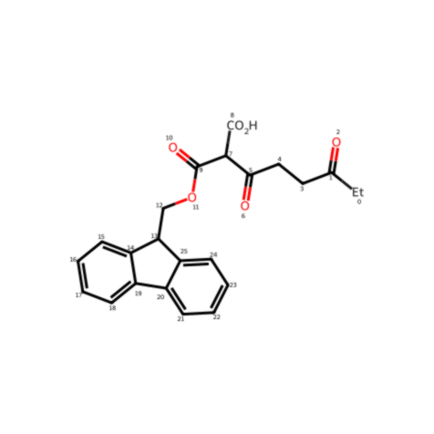 CCC(=O)CCC(=O)C(C(=O)O)C(=O)OCC1c2ccccc2-c2ccccc21